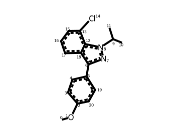 COc1ccc(-c2nn(C(C)C)c3c(Cl)cccc23)cc1